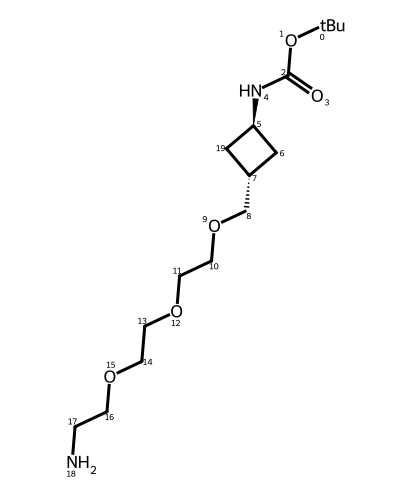 CC(C)(C)OC(=O)N[C@H]1C[C@H](COCCOCCOCCN)C1